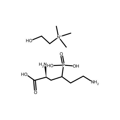 C[N+](C)(C)CCO.NCCC(C[C@H](N)C(=O)O)P(=O)(O)O